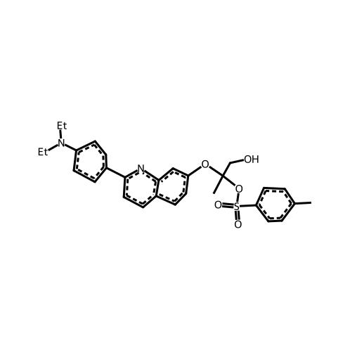 CCN(CC)c1ccc(-c2ccc3ccc(OC(C)(CO)OS(=O)(=O)c4ccc(C)cc4)cc3n2)cc1